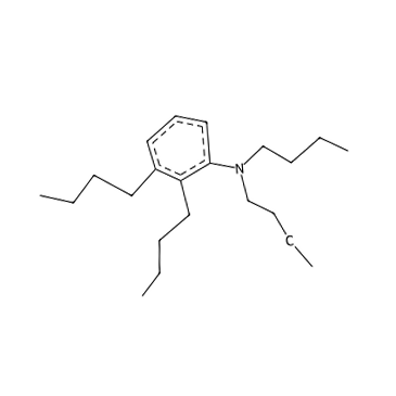 CCCCc1cccc(N(CCCC)CCCC)c1CCCC